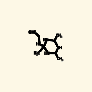 CC1NC(C)NC(C)(NCC=O)N1